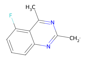 [CH2]c1nc(C)c2c(F)cccc2n1